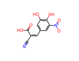 N#CC(=Cc1cc(O)c(O)c([N+](=O)[O-])c1)C(=O)O